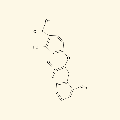 Cc1ccccc1CC(Oc1ccc(C(=O)O)c(O)c1)=S(=O)=O